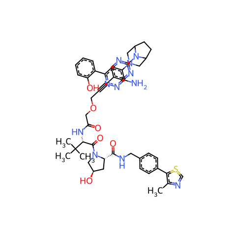 Cc1ncsc1-c1ccc(CNC(=O)[C@@H]2C[C@@H](O)CN2C(=O)[C@@H](NC(=O)COCC#Cc2cnc(N3C4CCC3CN(c3cc(-c5ccccc5O)nnc3N)C4)nc2)C(C)(C)C)cc1